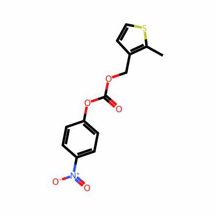 Cc1sccc1COC(=O)Oc1ccc([N+](=O)[O-])cc1